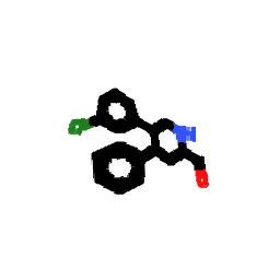 O=CC1CC(c2ccccc2)C(c2cccc(Cl)c2)CN1